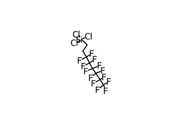 FC(F)(F)C(F)(F)C(F)(F)C(F)(F)C(F)(F)C(F)(F)CC[Si](Cl)(Cl)Cl